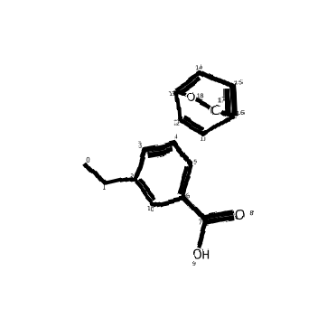 CCc1cccc(C(=O)O)c1.c1cc2ccc1CO2